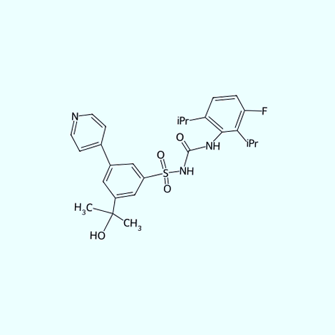 CC(C)c1ccc(F)c(C(C)C)c1NC(=O)NS(=O)(=O)c1cc(-c2ccncc2)cc(C(C)(C)O)c1